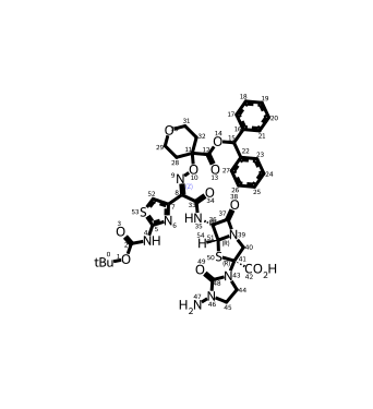 CC(C)(C)OC(=O)Nc1nc(/C(=N/OC2(C(=O)OC(c3ccccc3)c3ccccc3)CCOCC2)C(=O)N[C@@H]2C(=O)N3C[C@@](C(=O)O)(N4CCN(N)C4=O)S[C@H]23)cs1